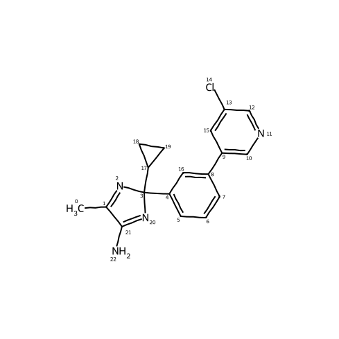 CC1=NC(c2cccc(-c3cncc(Cl)c3)c2)(C2CC2)N=C1N